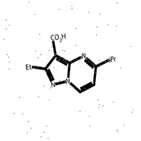 CCc1nn2ccc(C(C)C)nc2c1C(=O)O